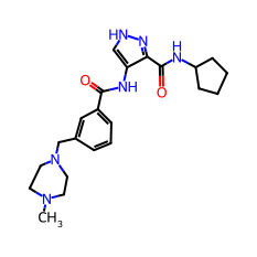 CN1CCN(Cc2cccc(C(=O)Nc3c[nH]nc3C(=O)NC3CCCC3)c2)CC1